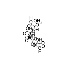 C.O.O.O=C(O)C(=O)O.O=C(O)C(=O)O.O=C(O)C(=O)O.O=C(O)C(=O)O